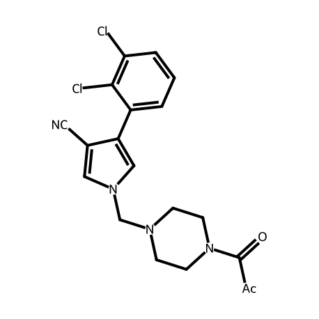 CC(=O)C(=O)N1CCN(Cn2cc(C#N)c(-c3cccc(Cl)c3Cl)c2)CC1